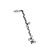 CCCCCCCC/C=C\CCCCCCCC(=O)OCCSSCCOC(=O)OC(C)(C)CC